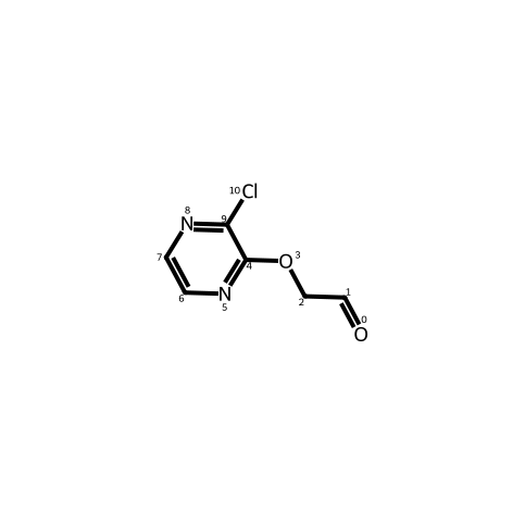 O=CCOc1nccnc1Cl